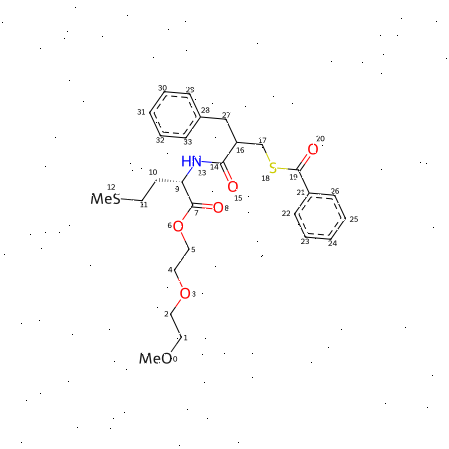 COCCOCCOC(=O)[C@H](CCSC)NC(=O)C(CSC(=O)c1ccccc1)Cc1ccccc1